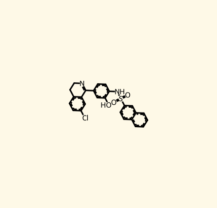 O=S(=O)(Nc1ccc(C2=NCCc3ccc(Cl)cc32)cc1O)c1ccc2ccccc2c1